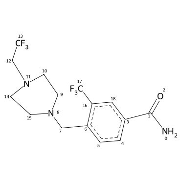 NC(=O)c1ccc(CN2CCN(CC(F)(F)F)CC2)c(C(F)(F)F)c1